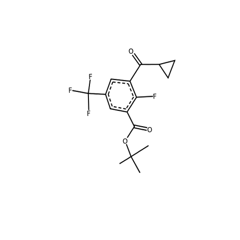 CC(C)(C)OC(=O)c1cc(C(F)(F)F)cc(C(=O)C2CC2)c1F